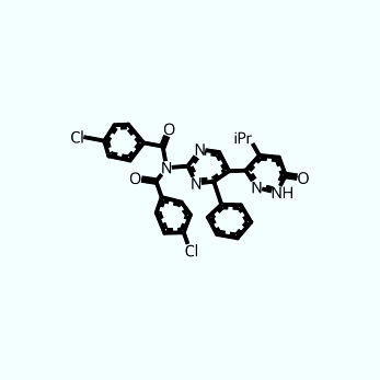 CC(C)c1cc(=O)[nH]nc1-c1cnc(N(C(=O)c2ccc(Cl)cc2)C(=O)c2ccc(Cl)cc2)nc1-c1ccccc1